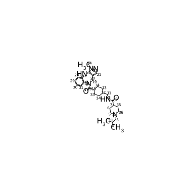 CC(C)CN1CCC(C(=O)NCC2CCC(C(=O)N3Cc4cnn(C)c4Nc4ccccc43)CC2)CC1